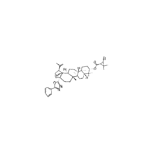 C=C(C)[C@@H]1CC[C@]2(c3nnc(-c4ccccc4)o3)CC[C@]3(C)[C@H](CC[C@@H]4[C@@]5(C)CC[C@H](OC(=O)[C@H]6[C@@H](CC)C6(C)C)C(C)(C)[C@@H]5CC[C@]43C)[C@@H]12